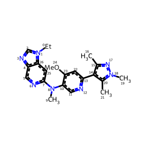 CCn1cnc2cnc(N(C)c3cnc(-c4c(C)nn(C)c4C)cc3OC)cc21